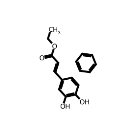 CCOC(=O)C=Cc1ccc(O)c(O)c1.c1ccccc1